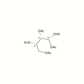 CC(=O)OC[C@H](OC(C)=O)[C@H](OC(C)=O)[C@H](C=O)OC(C)=O